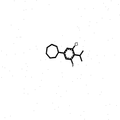 CC(C)c1c(F)cc(C2CCCCCC2)cc1Cl